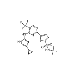 CC(C)(C)NS(=O)(=O)c1ccc(-c2ncc(C(F)(F)F)c(Nc3nc(C4CC4)c[nH]3)n2)s1